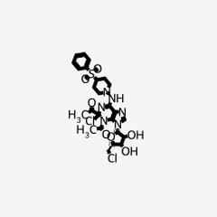 CC(=O)N1c2c(ncn2[C@@H]2O[C@H](CCl)C(O)C2O)C(NN2CCC(S(=O)(=O)c3ccccc3)CC2)=NC1(Cl)C(C)=O